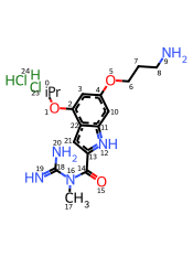 CC(C)Oc1cc(OCCCN)cc2[nH]c(C(=O)N(C)C(=N)N)cc12.Cl.Cl